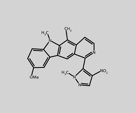 COc1ccc2c(c1)c1cc3c(-c4c([N+](=O)[O-])cnn4C)nccc3c(C)c1n2C